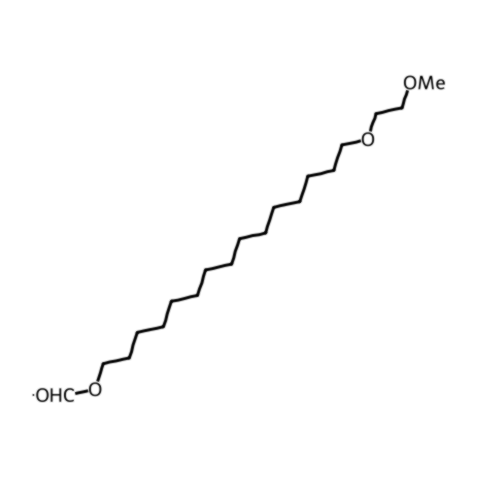 COCCOCCCCCCCCCCCCCCCO[C]=O